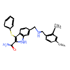 COc1ccc(CNCc2ccc3c(Sc4ccccc4)c(C(N)=O)[nH]c3c2)c(OC)c1